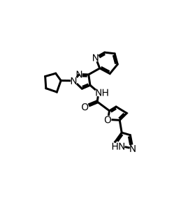 O=C(Nc1cn(C2CCCC2)nc1-c1ccccn1)c1ccc(-c2cn[nH]c2)o1